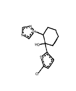 OC1(c2ccc(Cl)s2)CCCCC1n1cncn1